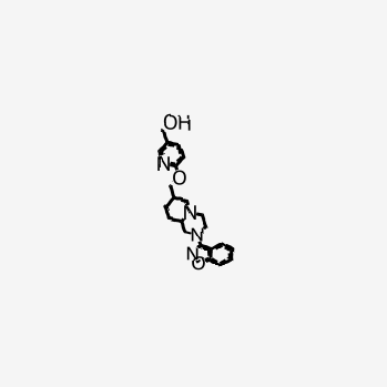 OCc1ccc(OCC2CCC3CN(c4noc5ccccc45)CCN3C2)nc1